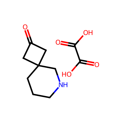 O=C(O)C(=O)O.O=C1CC2(CCCNC2)C1